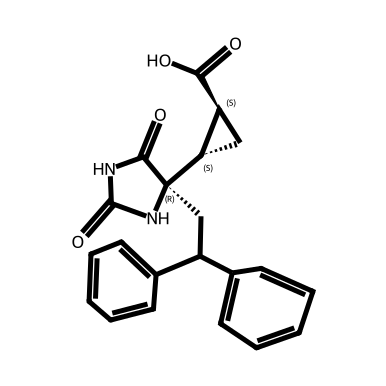 O=C1NC(=O)[C@@](CC(c2ccccc2)c2ccccc2)([C@H]2C[C@@H]2C(=O)O)N1